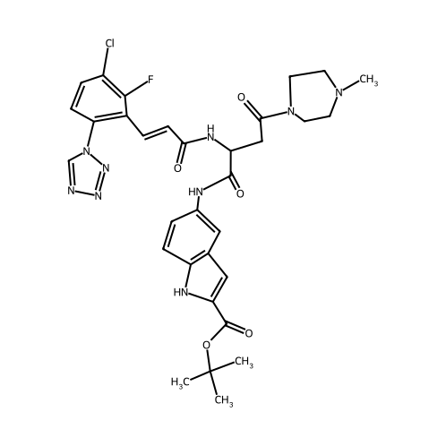 CN1CCN(C(=O)CC(NC(=O)C=Cc2c(-n3cnnn3)ccc(Cl)c2F)C(=O)Nc2ccc3[nH]c(C(=O)OC(C)(C)C)cc3c2)CC1